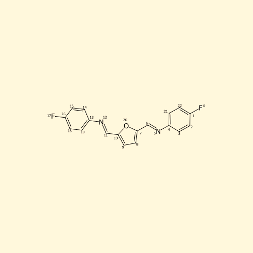 Fc1ccc(N=Cc2ccc(C=Nc3ccc(F)cc3)o2)cc1